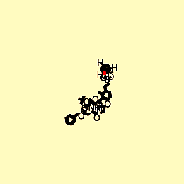 Cc1c(CCB2O[C@@H]3C[C@@H]4C[C@@H](C4(C)C)[C@]3(C)O2)ccc(OC2CN(C(=O)[C@@H](CC(=O)OCc3ccccc3)NC(=O)OC(C)(C)C)C2)c1C(=O)OC(C)(C)C